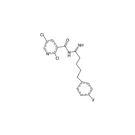 N=C(CCCCc1ccc(F)cc1)NC(=O)c1cc(Cl)cnc1Cl